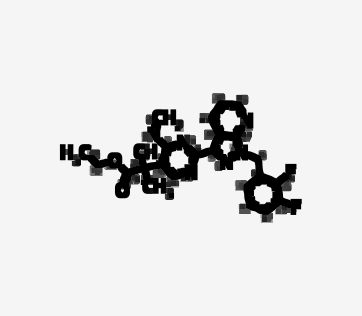 C=Nc1nc(-c2nn(Cc3cccc(F)c3F)c3ncccc23)ncc1C(C)(C)C(=O)OCC